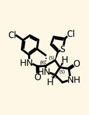 O=C1NC[C@@H]2N[C@]3(Cc4ccc(Cl)cc4NC3=O)[C@@H](c3ccc(Cl)s3)[C@H]12